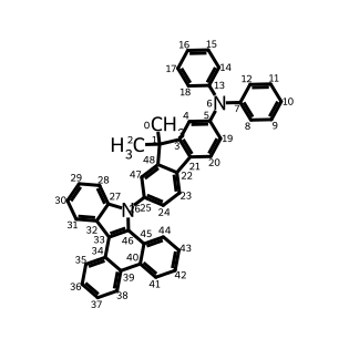 CC1(C)c2cc(N(c3ccccc3)c3ccccc3)ccc2-c2ccc(-n3c4ccccc4c4c5ccccc5c5ccccc5c43)cc21